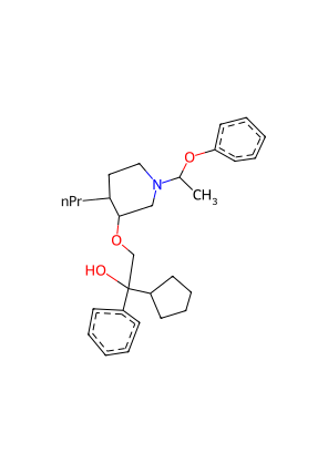 CCCC1CCN(C(C)Oc2ccccc2)CC1OCC(O)(c1ccccc1)C1CCCC1